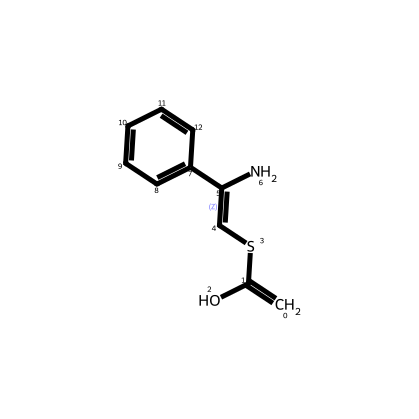 C=C(O)S/C=C(\N)c1ccccc1